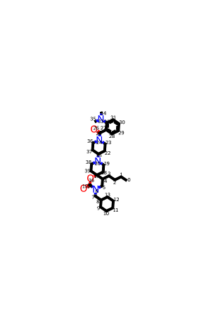 CCCCC1CN(CC2CCCCC2)C(=O)OC12CCN(C1CCN(C(=O)c3ccccc3N(C)C)CC1)CC2